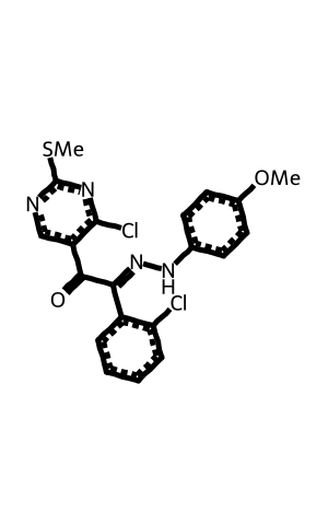 COc1ccc(NN=C(C(=O)c2cnc(SC)nc2Cl)c2ccccc2Cl)cc1